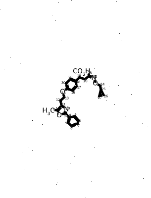 Cc1oc(-c2ccccc2)nc1CCOc1ccc(CC/C(=N\OCC2CC2)C(=O)O)cc1